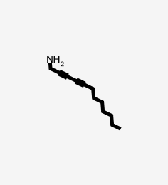 CCCCCCCC#CC#CCN